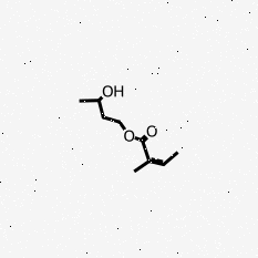 CC=C(C)C(=O)OCCC(C)O